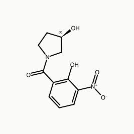 O=C(c1cccc([N+](=O)[O-])c1O)N1CC[C@@H](O)C1